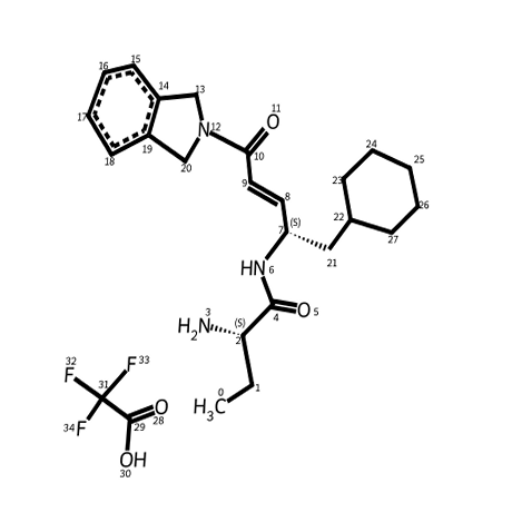 CC[C@H](N)C(=O)N[C@H](C=CC(=O)N1Cc2ccccc2C1)CC1CCCCC1.O=C(O)C(F)(F)F